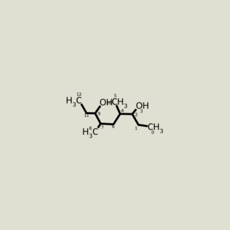 CCC(O)C(C)CC(C)C(O)CC